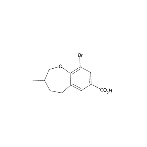 CC1CCc2cc(C(=O)O)cc(Br)c2OC1